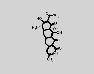 Cc1cc2c(c(=O)[nH]1)C(=O)C1=C(O)[C@]3(O)C(=O)C(C(N)=O)=C(O)[C@@H](N)C3CC1C2